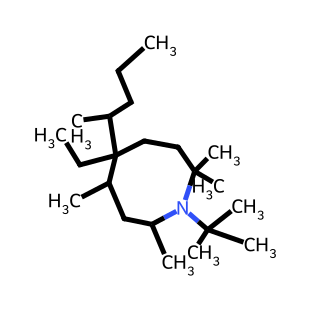 CCCC(C)C1(CC)CCC(C)(C)N(C(C)(C)C)C(C)CC1C